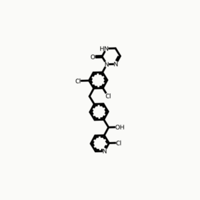 O=C1NCC=NN1c1cc(Cl)c(Cc2ccc(C(O)c3cccnc3Cl)cc2)c(Cl)c1